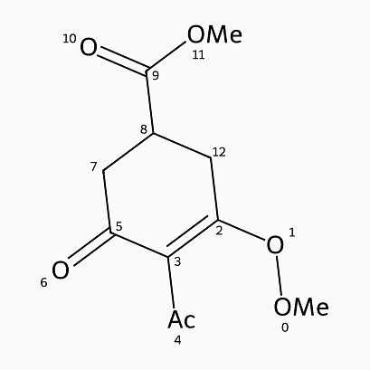 COOC1=C(C(C)=O)C(=O)CC(C(=O)OC)C1